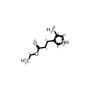 CCOC(=O)CCc1c[nH]cc1C